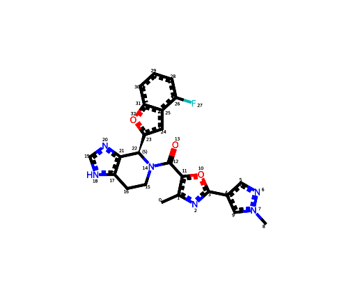 Cc1nc(-c2cnn(C)c2)oc1C(=O)N1CCc2[nH]cnc2[C@H]1c1cc2c(F)cccc2o1